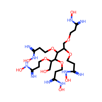 N=C(CCOCC(OCCC(=N)NO)C(OCCC(=N)NO)C(OCCC(=N)NO)C(CO)OCCC(=N)NO)NO